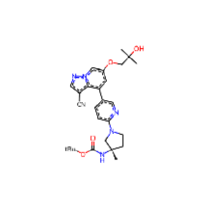 CC(C)(O)COc1cc(-c2ccc(N3CC[C@](C)(NC(=O)OC(C)(C)C)C3)nc2)c2c(C#N)cnn2c1